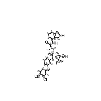 O=C(NC1=CC=CN2SNC=C12)N1CCN(Cc2cccc(Oc3ccc(Cl)c(Cl)c3)c2)CC1.O=C(O)C(F)(F)F